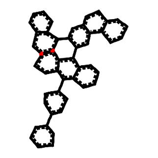 c1ccc(-c2ccc(-c3c4ccccc4c(-c4cc5c(ccc6ccccc65)cc4-c4cccc5ccccc45)c4ccccc34)cc2)cc1